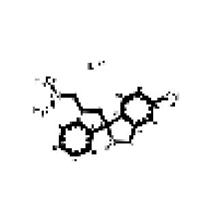 CN(C)CCCC1(c2ccccc2)OCc2cc(C#N)ccc21.Cl